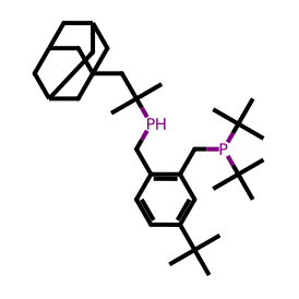 CC(C)(CC12CC3CC(CC(C3)C1)C2)PCc1ccc(C(C)(C)C)cc1CP(C(C)(C)C)C(C)(C)C